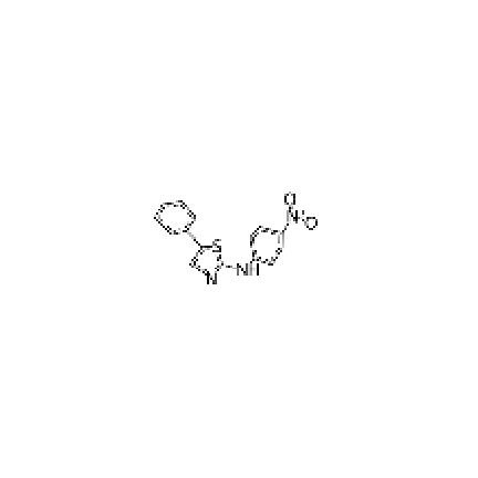 O=[N+]([O-])c1ccc(Nc2ncc(-c3ccccc3)s2)cc1